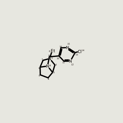 CCN1CC2CCC(C1)N2Cc1cnc(Cl)nc1